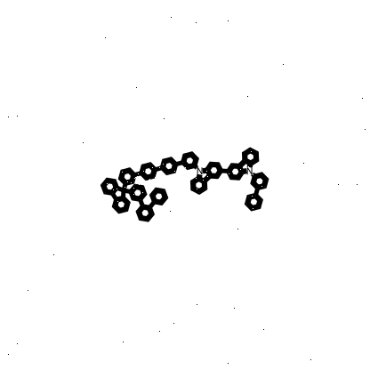 c1ccc(-c2cccc(-n3c4ccccc4c4cc(-c5ccc6c(c5)c5ccccc5n6-c5cccc(-c6ccc(-c7ccc(-c8cccc(C9(c%10cccc(-c%11ccccc%11-c%11ccccc%11)c%10)c%10ccccc%10-c%10ccccc%109)c8)cc7)cc6)c5)ccc43)c2)cc1